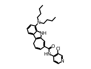 CCCCN(CCCC)c1cccc2c3c([nH]c12)C=C(C(=O)Nc1ccncc1Cl)C=CC3